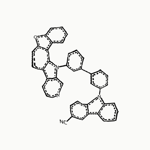 N#Cc1ccc2c(c1)c1ccccc1n2-c1cccc(-c2cccc(-n3c4cnccc4c4ccc5oc6ccccc6c5c43)c2)c1